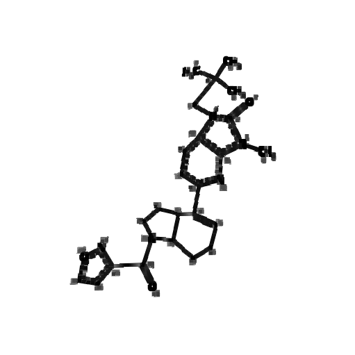 Cn1c(=O)n(CC(C)(C)C)c2ccc(C3=CCCC4C3CCN4C(=O)c3ccon3)nc21